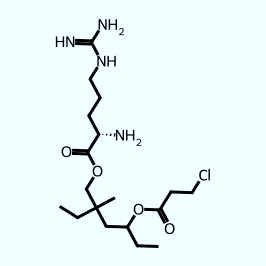 CCC(CC(C)(CC)COC(=O)[C@@H](N)CCCNC(=N)N)OC(=O)CCCl